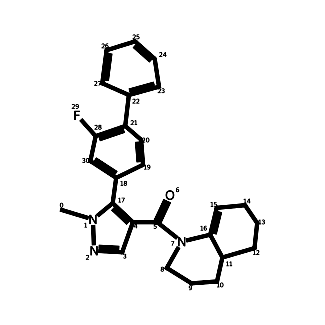 Cn1ncc(C(=O)N2CCCC3CCCC=C32)c1-c1ccc(-c2ccccc2)c(F)c1